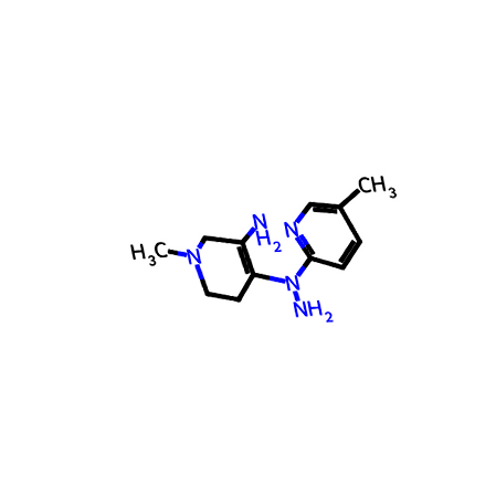 Cc1ccc(N(N)C2=C(N)CN(C)CC2)nc1